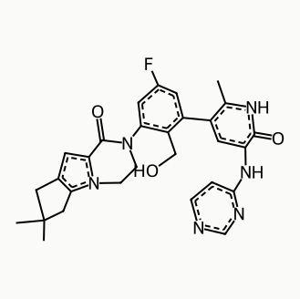 Cc1[nH]c(=O)c(Nc2ccncn2)cc1-c1cc(F)cc(N2CCn3c(cc4c3CC(C)(C)C4)C2=O)c1CO